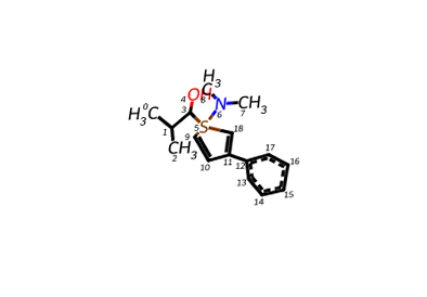 CC(C)C(O)S1(N(C)C)C=CC(c2ccccc2)=C1